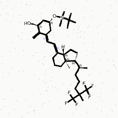 C=C1/C(=C/C=C2\CCC[C@]3(C)[C@@H]([C@@H](C)CCCC(C)(C(F)(F)F)C(F)(F)F)CC[C@@H]23)C[C@@H](O[Si](C)(C)C(C)(C)C)C[C@@H]1O